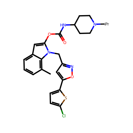 Cc1cccc2cc(OC(=O)NC3CCN(C(C)C)CC3)n(Cc3cc(-c4ccc(Cl)s4)on3)c12